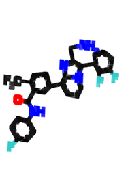 NCc1nc2c(-c3ccc(C(F)(F)F)c(C(=O)Nc4ccc(F)cc4)c3)cccn2c1-c1cccc(F)c1F